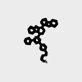 C/C=C\C=C/c1ccc(-c2nc(C3=CCC(c4cccc5c4oc4ccccc45)c4oc5ccccc5c43)nc(-c3ccccc3)n2)cc1